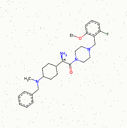 CCOc1cccc(F)c1CN1CCN(C(=O)[C@H](N)C2CCC(N(C)Cc3ccccc3)CC2)CC1